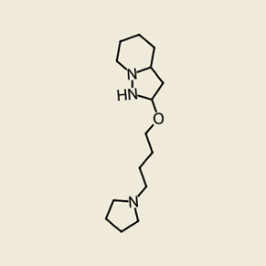 C(CCN1CCCC1)COC1CC2CCCCN2N1